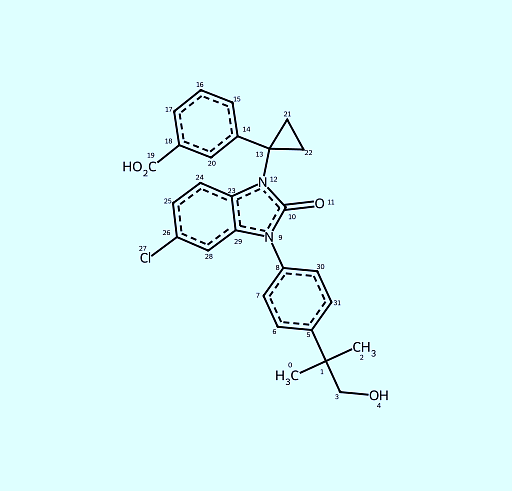 CC(C)(CO)c1ccc(-n2c(=O)n(C3(c4cccc(C(=O)O)c4)CC3)c3ccc(Cl)cc32)cc1